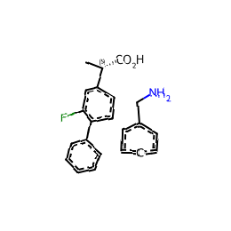 C[C@H](C(=O)O)c1ccc(-c2ccccc2)c(F)c1.NCc1ccccc1